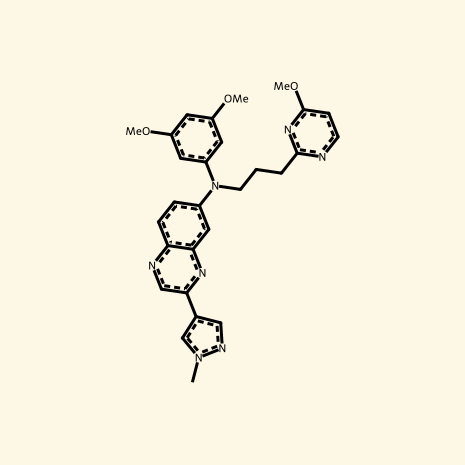 COc1cc(OC)cc(N(CCCc2nccc(OC)n2)c2ccc3ncc(-c4cnn(C)c4)nc3c2)c1